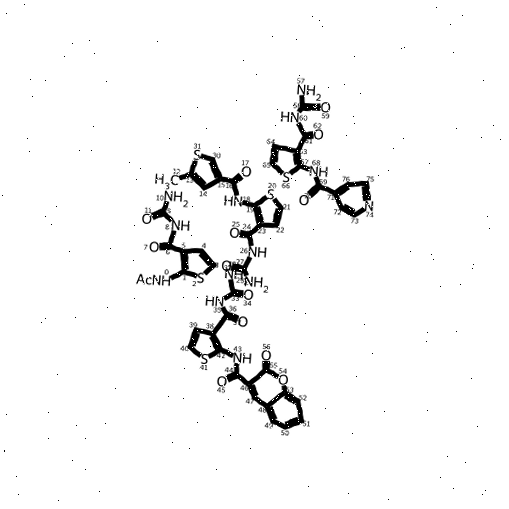 CC(=O)Nc1sccc1C(=O)NC(N)=O.Cc1cc(C(=O)Nc2sccc2C(=O)NC(N)=O)cs1.NC(=O)NC(=O)c1ccsc1NC(=O)c1cc2ccccc2oc1=O.NC(=O)NC(=O)c1ccsc1NC(=O)c1ccncc1